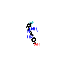 C=C(CCc1ncc(-c2cc(C(F)(F)F)ccc2C)n1N)N[C@H]1CCC[C@H](C(C)(C)O)CC1